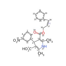 CC1=C(C(=O)O)C(c2cccc([N+](=O)[O-])c2)C(C(=O)OC/C=C\c2ccccc2)=C(C)N1